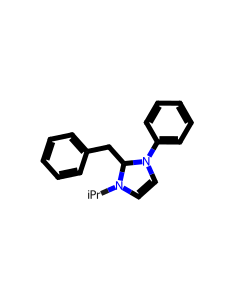 CC(C)N1C=CN(c2ccccc2)C1Cc1ccccc1